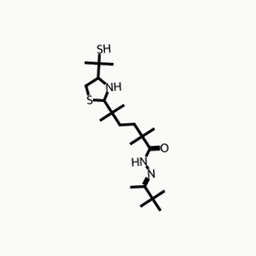 C/C(=N\NC(=O)C(C)(C)CCC(C)(C)C1NC(C(C)(C)S)CS1)C(C)(C)C